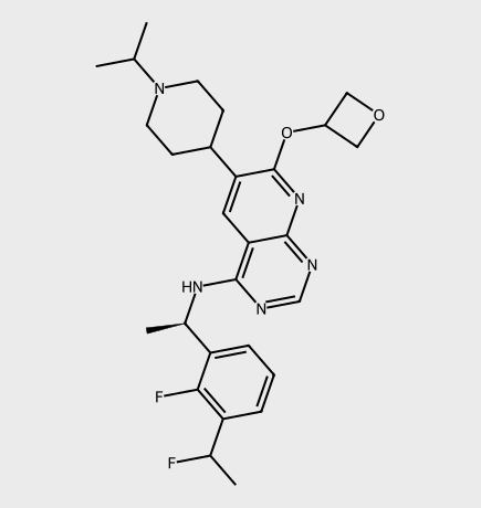 CC(F)c1cccc([C@@H](C)Nc2ncnc3nc(OC4COC4)c(C4CCN(C(C)C)CC4)cc23)c1F